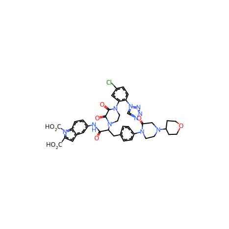 O=C(O)c1cc2cc(NC(=O)C(Cc3ccc(N4CCN(C5CCOCC5)CC4=O)cc3)N3CCN(c4cc(Cl)ccc4-n4cnnn4)C(=O)C3=O)ccc2n1C(=O)O